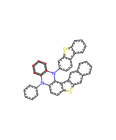 c1ccc(N(c2ccccc2)c2ccc3sc4cc5ccccc5cc4c3c2N(c2ccccc2)c2ccc3c(c2)sc2ccccc23)cc1